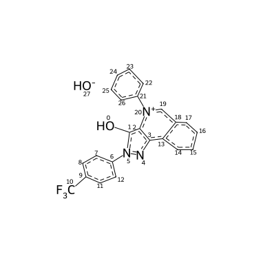 Oc1c2c(nn1-c1ccc(C(F)(F)F)cc1)c1ccccc1c[n+]2-c1ccccc1.[OH-]